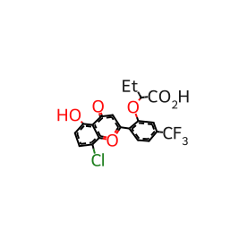 CCC(Oc1cc(C(F)(F)F)ccc1-c1cc(=O)c2c(O)ccc(Cl)c2o1)C(=O)O